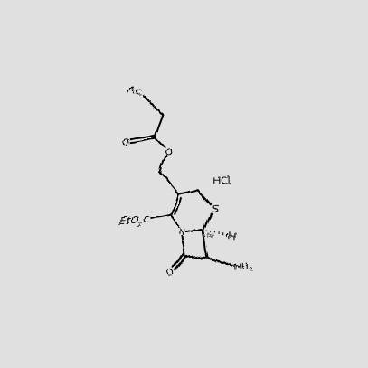 CCOC(=O)C1=C(COC(=O)CC(C)=O)CS[C@H]2C(N)C(=O)N12.Cl